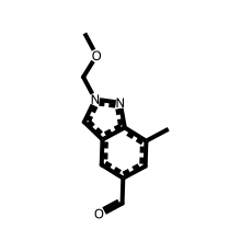 COCn1cc2cc(C=O)cc(C)c2n1